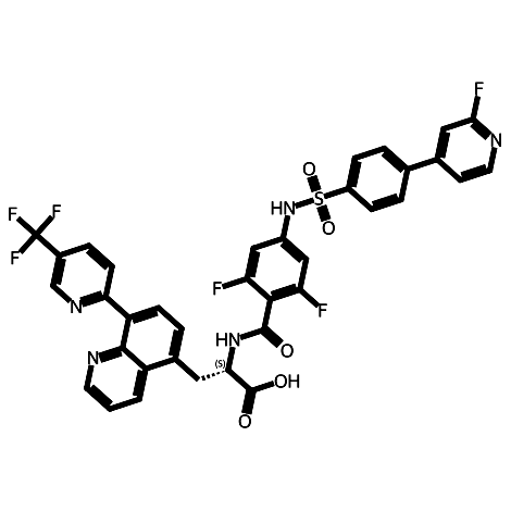 O=C(N[C@@H](Cc1ccc(-c2ccc(C(F)(F)F)cn2)c2ncccc12)C(=O)O)c1c(F)cc(NS(=O)(=O)c2ccc(-c3ccnc(F)c3)cc2)cc1F